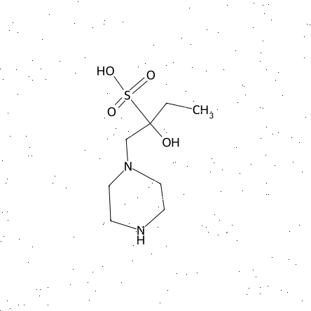 CCC(O)(CN1CCNCC1)S(=O)(=O)O